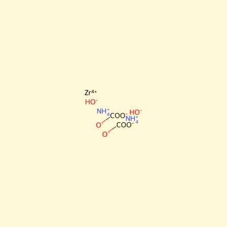 O=C([O-])[O-].O=C([O-])[O-].[NH4+].[NH4+].[OH-].[OH-].[Zr+4]